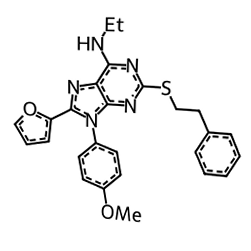 CCNc1nc(SCCc2ccccc2)nc2c1nc(-c1ccco1)n2-c1ccc(OC)cc1